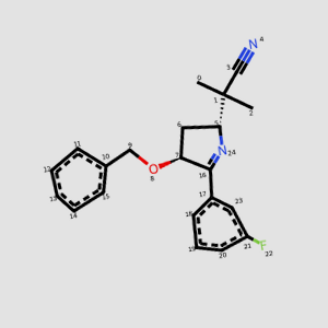 CC(C)(C#N)[C@H]1C[C@H](OCc2ccccc2)C(c2cccc(F)c2)=N1